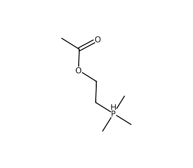 CC(=O)OCC[PH](C)(C)C